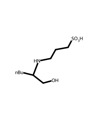 CCCCC(CO)NCCCS(=O)(=O)O